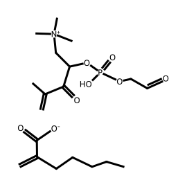 C=C(C)C(=O)C(C[N+](C)(C)C)OP(=O)(O)OCC=O.C=C(CCCCC)C(=O)[O-]